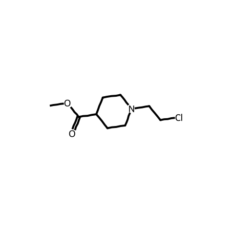 COC(=O)C1CCN(CCCl)CC1